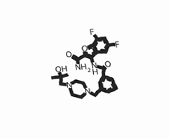 CC(C)(O)CN1CCN(Cc2cccc(C(=O)Nc3c(C(N)=O)oc4c(F)cc(F)cc34)c2)CC1